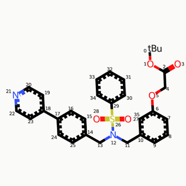 CC(C)(C)OC(=O)COc1cccc(CN(Cc2ccc(-c3ccncc3)cc2)S(=O)(=O)c2ccccc2)c1